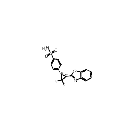 NS(=O)(=O)c1ccc([C@@H]2[C@@H](c3nc4ccccc4o3)C2(F)F)cc1